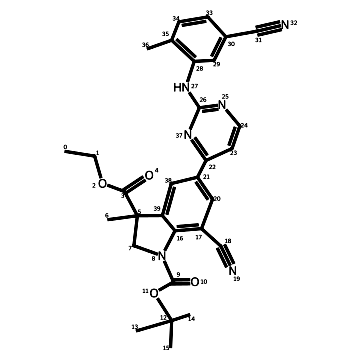 CCOC(=O)C1(C)CN(C(=O)OC(C)(C)C)c2c(C#N)cc(-c3ccnc(Nc4cc(C#N)ccc4C)n3)cc21